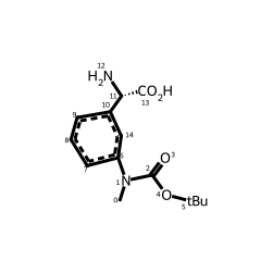 CN(C(=O)OC(C)(C)C)c1cccc([C@H](N)C(=O)O)c1